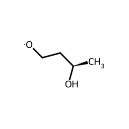 C[C@@H](O)CC[O]